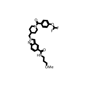 COCCCNC(=O)c1ccc2nn(CC3CCN(C(=O)c4ccc(OC(F)F)cc4)CC3)cc2c1